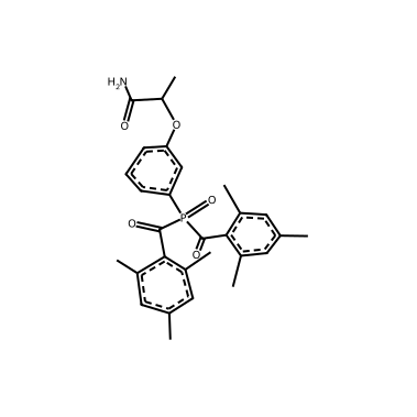 Cc1cc(C)c(C(=O)P(=O)(C(=O)c2c(C)cc(C)cc2C)c2cccc(OC(C)C(N)=O)c2)c(C)c1